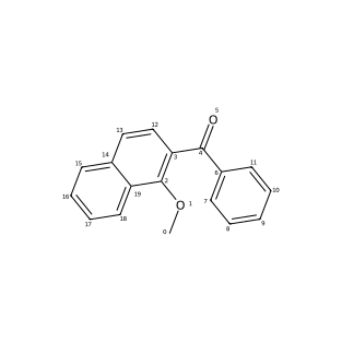 COc1c(C(=O)c2ccccc2)ccc2ccccc12